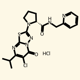 CC(C)c1nc2sc(N3CCC[C@@H]3C(=O)NCc3ccccn3)nn2c(=O)c1Cl.Cl